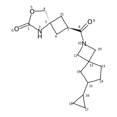 O=C1N[C@]2(CO1)C[C@H](C(=O)N1CC3(CCC(C4CC4)C3)C1)C2